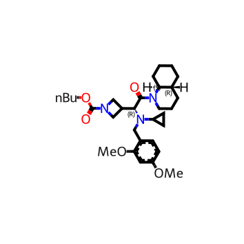 CCCCOC(=O)N1CC([C@H](C(=O)N2CCC[C@H]3CCCC[C@@H]32)N(Cc2ccc(OC)cc2OC)C2CC2)C1